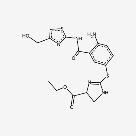 CCOC(=O)C1CNC(Sc2ccc(N)c(C(=O)Nc3nc(CO)cs3)c2)=N1